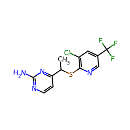 CC(Sc1ncc(C(F)(F)F)cc1Cl)c1ccnc(N)n1